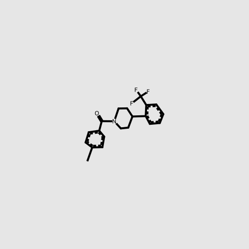 Cc1ccc(C(=O)N2CCC(c3ccccc3C(F)(F)F)CC2)cc1